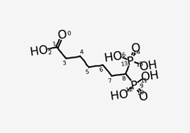 O=C(O)CCCCCC(P(=O)(O)O)P(=O)(O)O